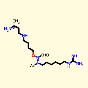 CC(=O)N(CCCCCCNC(=N)N)N(C=O)OCCCCNCC[C@@H](C)N